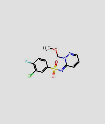 COCn1nccc/c1=N/S(=O)(=O)c1ccc(F)c(Cl)c1